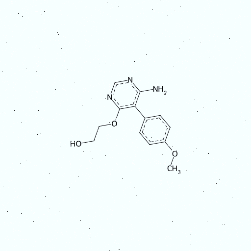 COc1ccc(-c2c(N)ncnc2OCCO)cc1